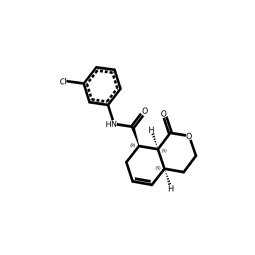 O=C1OCC[C@H]2C=CC[C@@H](C(=O)Nc3cccc(Cl)c3)[C@@H]12